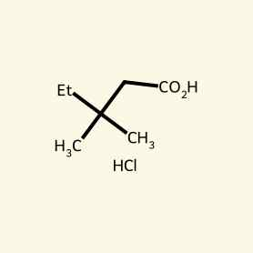 CCC(C)(C)CC(=O)O.Cl